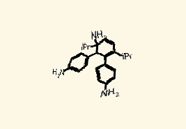 CC(C)C1=C(c2ccc(N)cc2)C(c2ccc(N)cc2)C(N)(C(C)C)C=C1